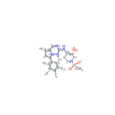 CS(=O)(=O)N1CC[C@@H](Nc2ncc3c(F)cc(-c4c(F)c(F)c(F)c(F)c4F)n3n2)[C@H](O)C1